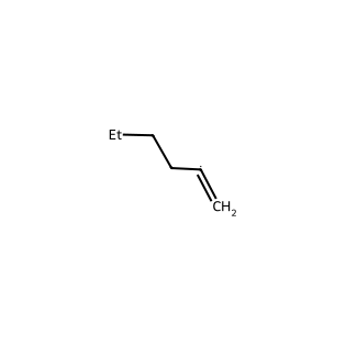 [CH2]CCC[C]=C